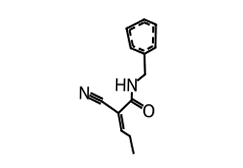 CC/C=C(/C#N)C(=O)NCc1ccccc1